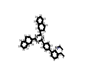 C/C=N\c1c(CC)cccc1-c1ccc(-c2nc(-c3ccc4ccccc4c3)nc(-c3ccc4ccccc4c3)n2)cc1